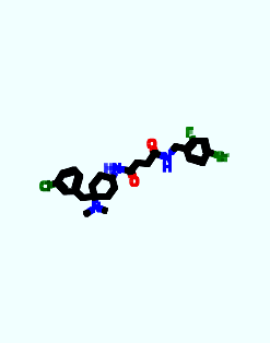 CN(C)C1(Cc2cccc(Cl)c2)CCC(NC(=O)CCC(=O)NCc2ccc(Br)cc2F)CC1